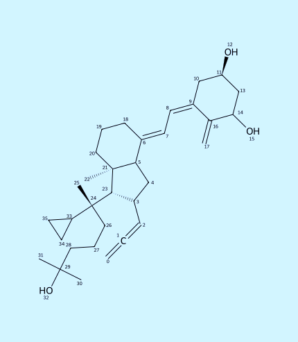 C=C=CC1CC2/C(=C/C=C3/C[C@@H](O)CC(O)C3=C)CCC[C@]2(C)[C@H]1[C@](C)(CCCC(C)(C)O)C1CC1